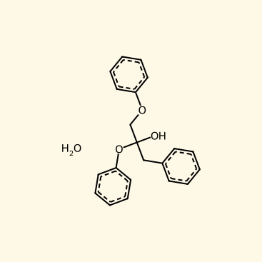 O.OC(COc1ccccc1)(Cc1ccccc1)Oc1ccccc1